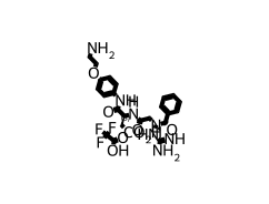 N=C(N)NN(CC(=O)N[C@@H](CC(=O)O)C(=O)Nc1ccc(OCCN)cc1)C(=O)c1ccccc1.O=C(O)C(F)(F)F